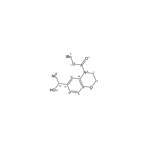 CC(C)(C)OC(=O)N1CCOc2ccc(C(O)C#N)cc21